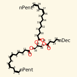 CCCCC/C=C\C/C=C\C/C=C\CCCCC(=O)OC[C@H](COC(=O)CCCCCCCCCCCCC)OC(=O)CCCCCCC/C=C\C/C=C\CCCCC